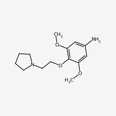 COc1cc(N)cc(OC)c1OCCN1CCCC1